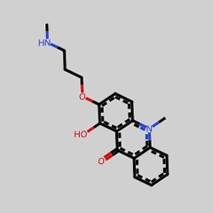 CNCCCOc1ccc2c(c1O)c(=O)c1ccccc1n2C